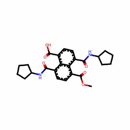 COC(=O)c1ccc(C(=O)NC2CCCC2)c2c(C(=O)O)ccc(C(=O)NC3CCCC3)c12